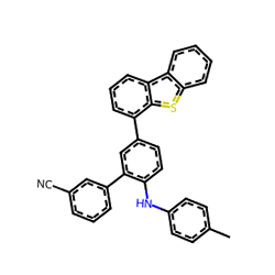 Cc1ccc(Nc2ccc(-c3cccc4c3sc3ccccc34)cc2-c2cccc(C#N)c2)cc1